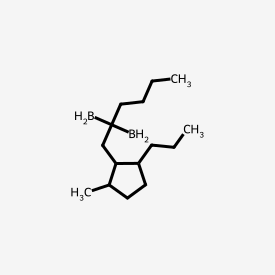 BC(B)(CCCC)CC1C(C)CCC1CCC